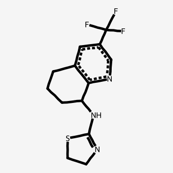 FC(F)(F)c1cnc2c(c1)CCCC2NC1=NCCS1